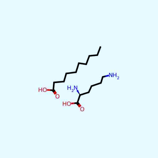 CCCCCCCCCC(=O)O.NCCCC[C@H](N)C(=O)O